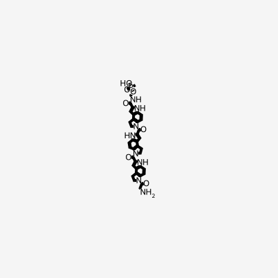 CP(=O)(O)OCNC(=O)c1cc2c3c(ccc2[nH]1)N(C(=O)c1cc2c4c(ccc2[nH]1)N(C(=O)c1cc2c5c(ccc2[nH]1)N(C(=O)CN)CC5)CC4)CC3